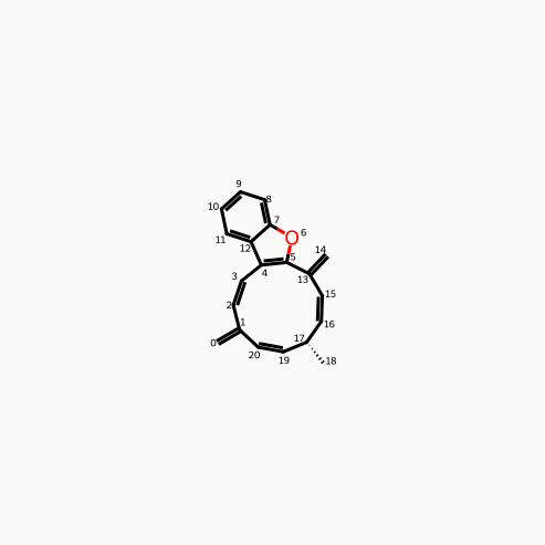 C=C1/C=C\c2c(oc3ccccc23)C(=C)/C=C\[C@H](C)/C=C\1